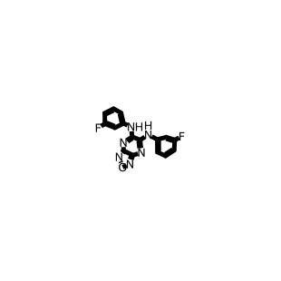 Fc1cccc(Nc2nc3nonc3nc2Nc2cccc(F)c2)c1